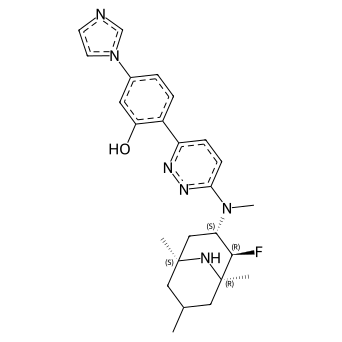 CC1C[C@@]2(C)C[C@H](N(C)c3ccc(-c4ccc(-n5ccnc5)cc4O)nn3)[C@@H](F)[C@@](C)(C1)N2